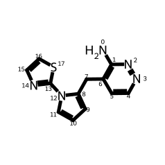 Nc1nnccc1Cc1cccn1-c1nccs1